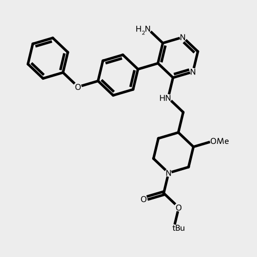 COC1CN(C(=O)OC(C)(C)C)CCC1CNc1ncnc(N)c1-c1ccc(Oc2ccccc2)cc1